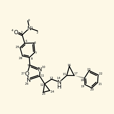 CN(C)C(=O)c1ccc(-c2nc(C3(CNC4C[C@@H]4c4ccccc4)CC3)no2)cc1